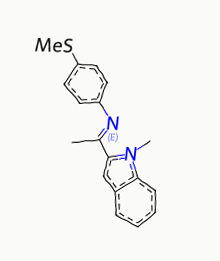 CSc1ccc(/N=C(\C)c2cc3ccccc3n2C)cc1